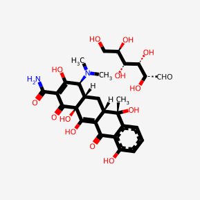 CN(C)[C@@H]1C(O)=C(C(N)=O)C(=O)[C@@]2(O)C(O)=C3C(=O)c4c(O)cccc4[C@@](C)(O)[C@H]3C[C@@H]12.O=C[C@H](O)[C@@H](O)[C@H](O)[C@H](O)CO